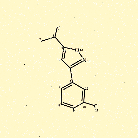 CC(C)c1cc(-c2cccc(Cl)c2)no1